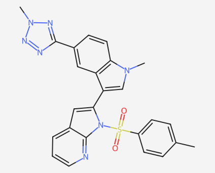 Cc1ccc(S(=O)(=O)n2c(-c3cn(C)c4ccc(-c5nnn(C)n5)cc34)cc3cccnc32)cc1